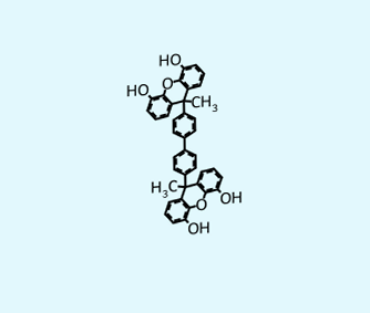 CC1(c2ccc(-c3ccc(C4(C)c5cccc(O)c5Oc5c(O)cccc54)cc3)cc2)c2cccc(O)c2Oc2c(O)cccc21